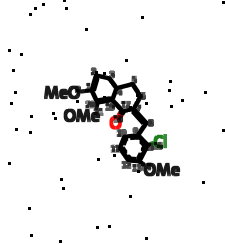 COC1=CCC2CCC(=Cc3cccc(OC)c3Cl)C(=O)C2=C1OC